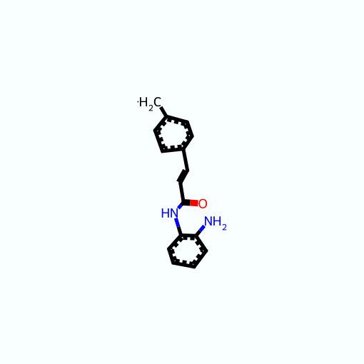 [CH2]c1ccc(/C=C/C(=O)Nc2ccccc2N)cc1